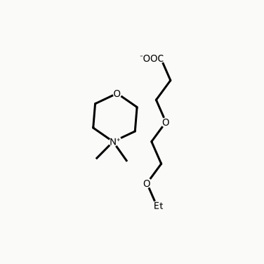 CCOCCOCCC(=O)[O-].C[N+]1(C)CCOCC1